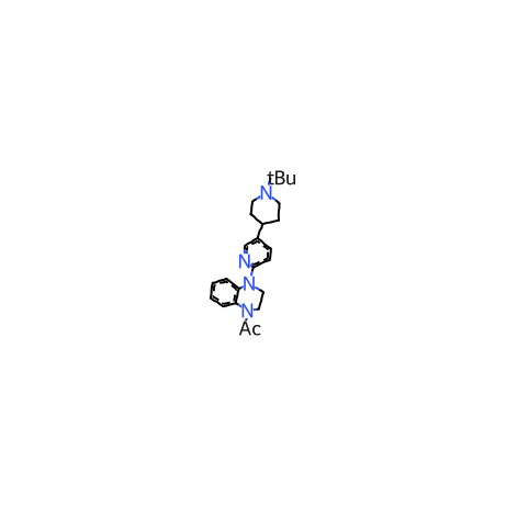 CC(=O)N1CCN(c2ccc(C3CCN(C(C)(C)C)CC3)cn2)c2ccccc21